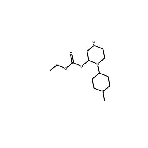 CCOC(=O)OC1CNCCN1C1CCN(C)CC1